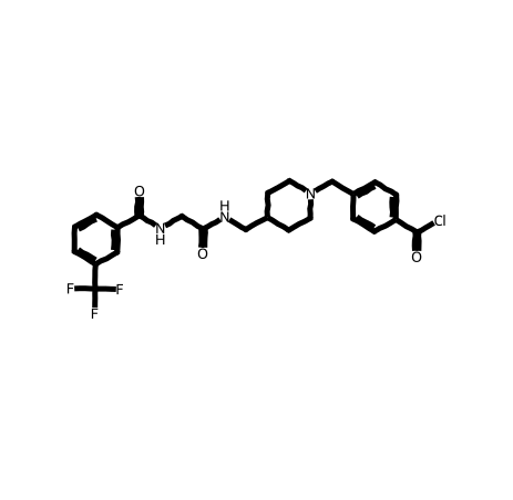 O=C(CNC(=O)c1cccc(C(F)(F)F)c1)NCC1CCN(Cc2ccc(C(=O)Cl)cc2)CC1